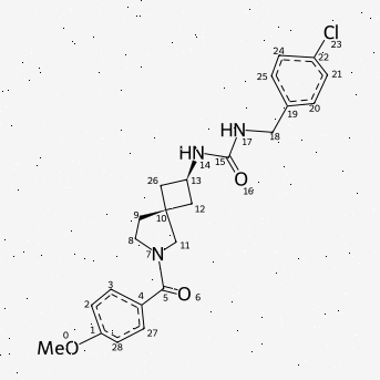 COc1ccc(C(=O)N2CC[C@]3(C2)C[C@H](NC(=O)NCc2ccc(Cl)cc2)C3)cc1